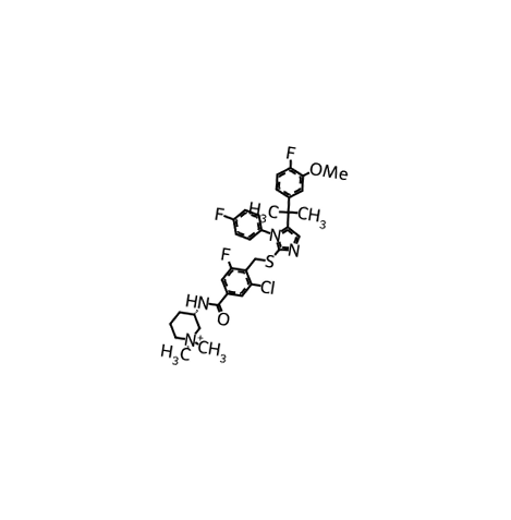 COc1cc(C(C)(C)c2cnc(SCc3c(F)cc(C(=O)N[C@H]4CCC[N+](C)(C)C4)cc3Cl)n2-c2ccc(F)cc2)ccc1F